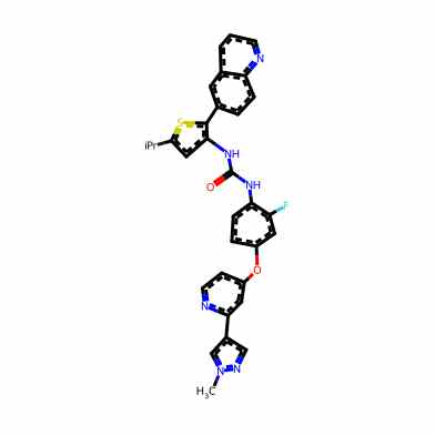 CC(C)c1cc(NC(=O)Nc2ccc(Oc3ccnc(-c4cnn(C)c4)c3)cc2F)c(-c2ccc3ncccc3c2)s1